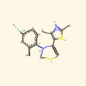 Cc1nc(C)c(C2=CSCN2c2ccc(F)cc2C)s1